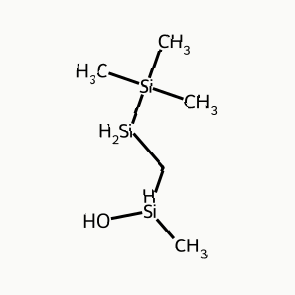 C[SiH](O)C[SiH2][Si](C)(C)C